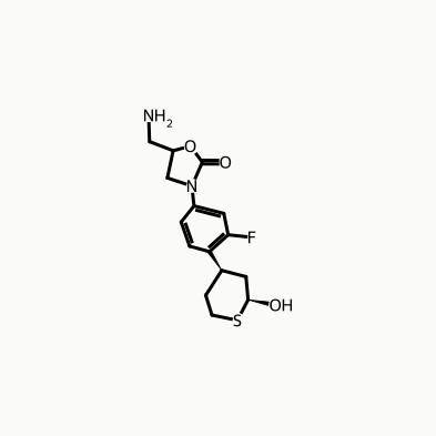 NCC1CN(c2ccc([C@@H]3CCS[C@H](O)C3)c(F)c2)C(=O)O1